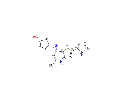 Cc1cc(N[C@@H]2CC[C@H](O)C2)c2sc(-c3ccn[nH]3)cc2n1